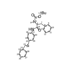 CN(C(=O)OC(C)(C)C)C(Cc1ccccc1)C(=O)Nc1ccc(SCc2ccccc2)cc1